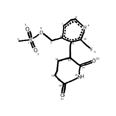 CS(=O)(=O)OCc1ccnc(F)c1C1CCC(=O)NC1=O